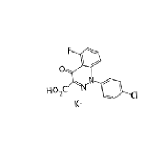 O=C(O)c1nn(-c2ccc(Cl)cc2)c2cccc(F)c2c1=O.[K]